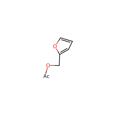 [CH2]C(=O)OCc1ccco1